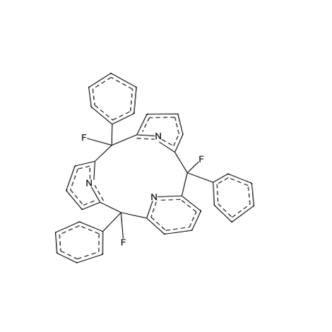 FC1(c2ccccc2)c2cccc(n2)C(F)(c2ccccc2)c2cccc(n2)C(F)(c2ccccc2)c2cccc1n2